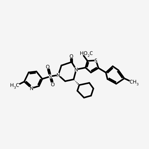 Cc1ccc(-c2cc(N3C(=O)CN(S(=O)(=O)c4ccc(C)nc4)C[C@H]3C3CCCCC3)c(C(=O)O)s2)cc1